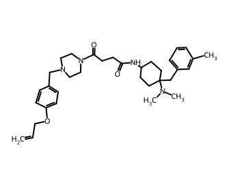 C=CCOc1ccc(CN2CCN(C(=O)CCC(=O)NC3CCC(Cc4cccc(C)c4)(N(C)C)CC3)CC2)cc1